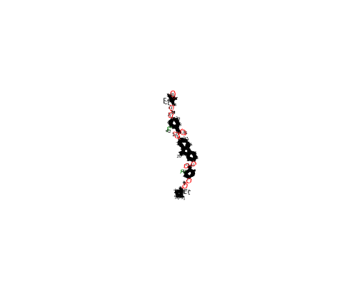 CCC1(COCOc2ccc(C(=O)Oc3ccc4c(c3)C(C)c3cc(OC(=O)c5ccc(OCOCC6(CC)COC6)cc5F)ccc3-4)c(F)c2)CCC1